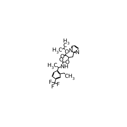 CCc1cc(C(F)(F)F)ccc1C(C)NC(=O)OC(Cc1ncccn1)C(=O)OC(C)C